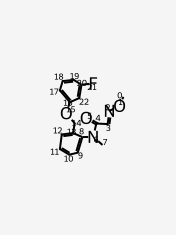 CON=CC(=O)N(C)c1ccccc1COc1cccc(F)c1